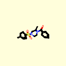 Cc1ccc(S(=O)(=O)N2CCN(C(=O)c3ccccc3)C(C)C2)cc1